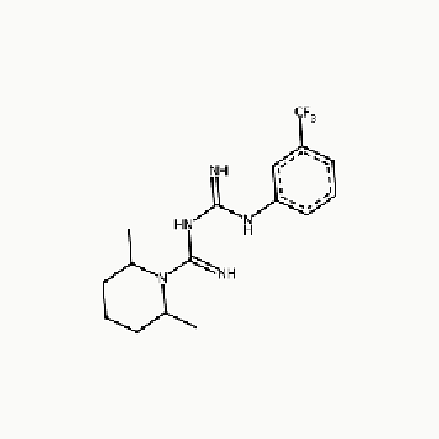 CC1CCCC(C)N1C(=N)NC(=N)Nc1cccc(C(F)(F)F)c1